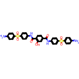 Nc1ccc(S(=O)(=O)c2ccc(NC(=O)c3ccc(C(=O)Nc4ccc(S(=O)(=O)c5ccc(N)cc5)cc4)c(O)c3)cc2)cc1